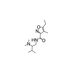 CCc1onc(C(=O)NCC(C(C)C)N(C)C)c1C